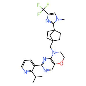 CC(C)c1ncccc1-c1ncc2c(n1)N(CC13CCC(c4nc(C(F)(F)F)cn4C)(CC1)C3)CCO2